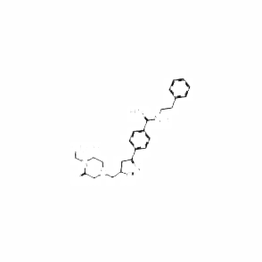 N=C(NCCc1ccccc1)c1ccc(C2=NOC(CN3CCN(CC(=O)O)C(=O)C3)C2)cc1